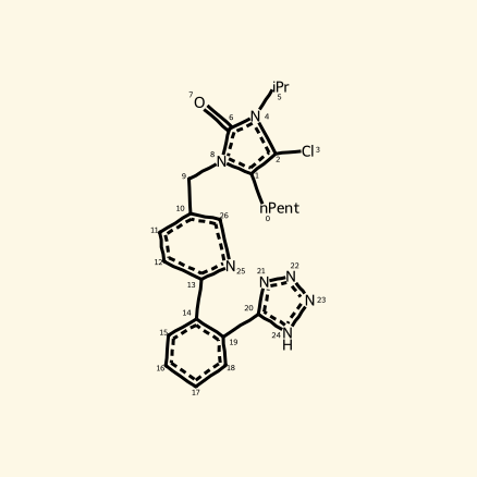 CCCCCc1c(Cl)n(C(C)C)c(=O)n1Cc1ccc(-c2ccccc2-c2nnn[nH]2)nc1